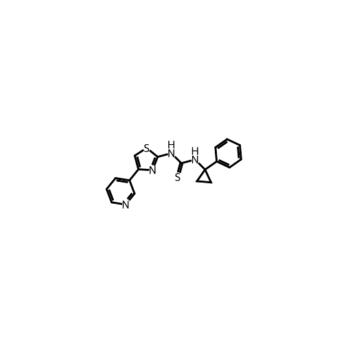 S=C(Nc1nc(-c2cccnc2)cs1)NC1(c2ccccc2)CC1